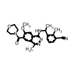 COc1cc2c(NC(C)c3cccc(C#N)c3C)nnc(C)c2cc1C(=O)N1CCOCC1